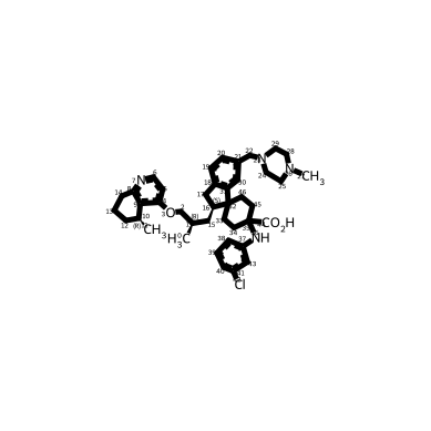 C[C@@H](COc1ccnc2c1[C@H](C)CCC2)C[C@H]1Cc2ccc(CN3CCN(C)CC3)cc2C12CCC(Nc1cccc(Cl)c1)(C(=O)O)CC2